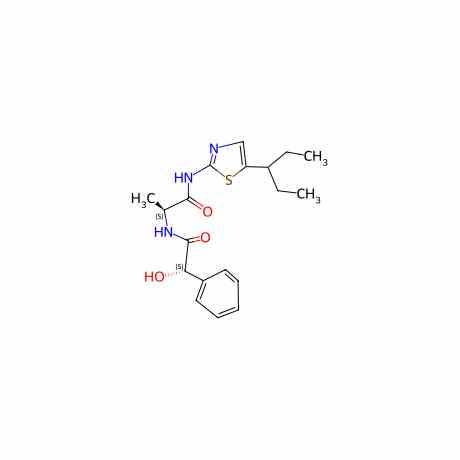 CCC(CC)c1cnc(NC(=O)[C@H](C)NC(=O)[C@@H](O)c2ccccc2)s1